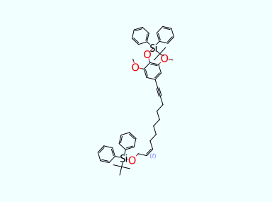 COc1cc(C#CCCCCCC/C=C\CO[Si](c2ccccc2)(c2ccccc2)C(C)(C)C)cc(OC)c1O[Si](c1ccccc1)(c1ccccc1)C(C)(C)C